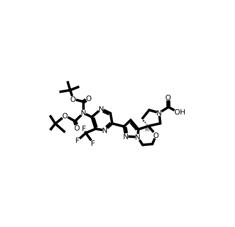 CC(C)(C)OC(=O)N(C(=O)OC(C)(C)C)c1ncc(-c2cc3n(n2)CCO[C@@]32CCN(C(=O)O)C2)nc1C(F)(F)F